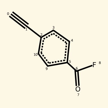 C#Cc1ccc(C(=O)F)cc1